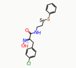 O=C(NCC[Se]Sc1ccccc1)/C(Cc1ccc(Cl)cc1)=N/O